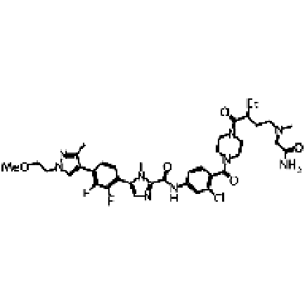 CCC(CCN(C)CC(N)=O)C(=O)N1CCN(C(=O)c2ccc(NC(=O)c3ncc(-c4ccc(-c5cn(CCOC)nc5C)c(F)c4F)n3C)cc2Cl)CC1